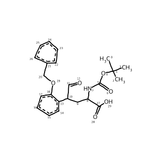 CC(C)(C)OC(=O)NC(CC(C=O)c1ccccc1OCc1ccccc1)C(=O)O